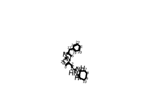 C1=C(CSC2=N[C@@H]3CCCCC[C@H]3N2)N2CC(Cc3ccccc3)N=C2S1